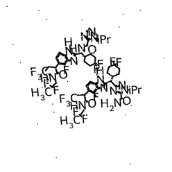 CC(C)n1nc(C(c2nc3c(F)c(C(CC(F)(F)F)C(=O)NCC(C)(F)F)ccc3[nH]2)C2CCC(F)(F)CC2)nc1C(N)=O.CC(C)n1ncnc1C(=O)NC(c1nc2c(F)c(C(CC(F)(F)F)C(=O)NCC(C)(F)F)ccc2[nH]1)C1CCC(F)(F)CC1